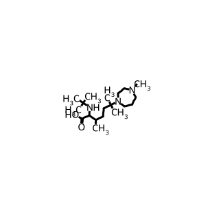 CC(CCC(C)(C)N1CCCN(C)CC1)C(NC(C)(C)C)C(=O)O